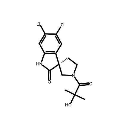 CC(C)(O)C(=O)N1CC[C@]2(C1)C(=O)Nc1cc(Cl)c(Cl)cc12